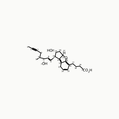 CC#CC[C@H](C)[C@@H](O)C=C[C@@H]1C2=C3CC=CC(CCCC(=O)O)=C3O[C@H]2C[C@H]1O